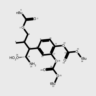 CCCCC(=O)OCC(C)C(c1ccc(OC(=O)OC(C)(C)C)c(OC(=O)OC(C)(C)C)c1)[C@H](N)C(=O)O